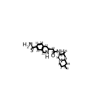 CC1CCN(C[C@@H](NC(=O)CC2Cc3ccc(C(N)=S)cc3CN2)C(C)C)CC1